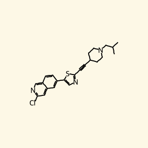 CC(C)CN1CCC(C#Cc2ncc(-c3ccc4cnc(Cl)cc4c3)s2)CC1